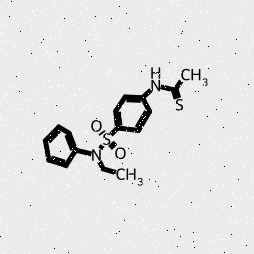 CCN(c1ccccc1)S(=O)(=O)c1ccc(NC(C)=S)cc1